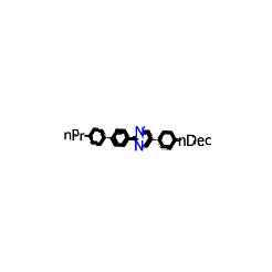 CCCCCCCCCC[C@H]1CC[C@H](c2cnc(-c3ccc([C@H]4CC[C@H](CCC)CC4)cc3)nc2)CC1